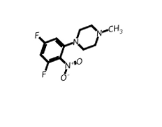 CN1CCN(c2cc(F)cc(F)c2[N+](=O)[O-])CC1